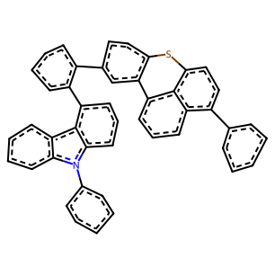 c1ccc(-c2ccc3c4c(cccc24)-c2cc(-c4ccccc4-c4cccc5c4c4ccccc4n5-c4ccccc4)ccc2S3)cc1